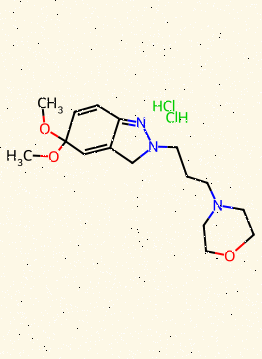 COC1(OC)C=CC2=NN(CCCN3CCOCC3)CC2=C1.Cl.Cl